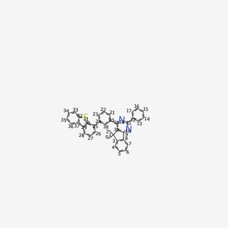 CC1(C)c2ccccc2-c2nc(-c3ccccc3)nc(-c3cccc(-c4cccc5c4sc4ccccc45)c3)c21